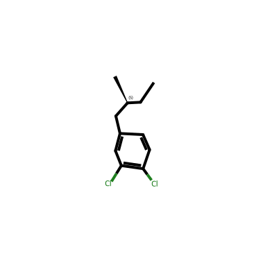 CC[C@H](C)Cc1ccc(Cl)c(Cl)c1